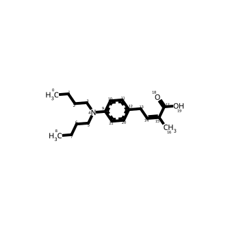 CCCCN(CCCC)c1ccc(CC=C(C)C(=O)O)cc1